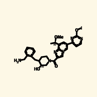 CO[C@H](C)c1cc(-c2ccnc(OI)n2)cn2cc(C(=O)N3CCC(Cc4ccccc4CN)[C@H](O)C3)nc12